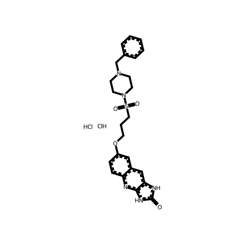 Cl.Cl.O=c1[nH]c2cc3cc(OCCCS(=O)(=O)N4CCN(Cc5ccccc5)CC4)ccc3nc2[nH]1